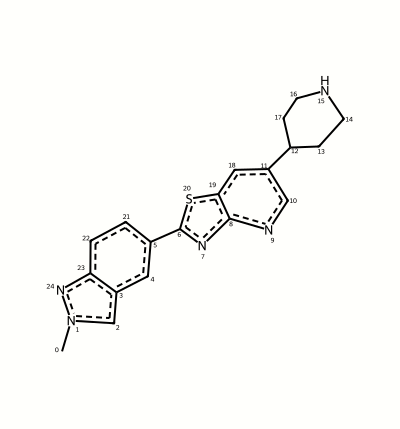 Cn1cc2cc(-c3nc4ncc(C5CCNCC5)cc4s3)ccc2n1